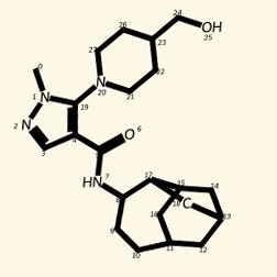 Cn1ncc(C(=O)NC2CCC3CC4CC(C3)C2C4)c1N1CCC(CO)CC1